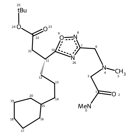 CNC(=O)CN(C)Cc1noc([C@H](CCCC2CCCCC2)CC(=O)OC(C)(C)C)n1